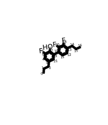 CCCc1cc(F)c(O)c(-c2ccc(CCC)c(F)c2F)c1